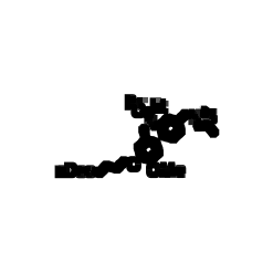 CCCCCCCCCCCCCCOc1cc(CN(C(=O)CC)c2cccc(C[n+]3csc(C)c3)c2)ccc1OC.[Br-]